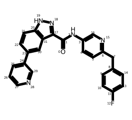 O=C(Nc1ccc(Cc2ccc(F)cc2)nc1)c1n[nH]c2ccc(-c3cccnc3)cc12